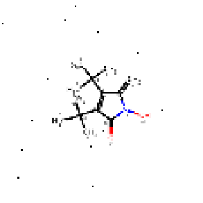 C=C1C(C(C)(C)C)=C(C(C)(C)C)C(=O)N1O